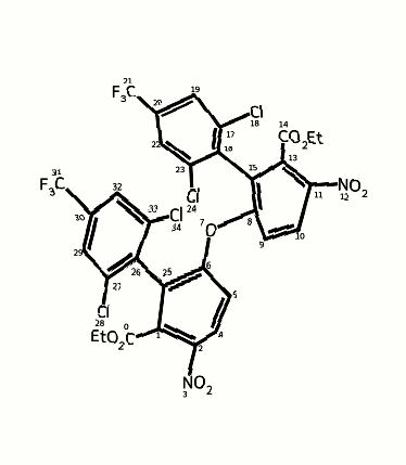 CCOC(=O)c1c([N+](=O)[O-])ccc(Oc2ccc([N+](=O)[O-])c(C(=O)OCC)c2-c2c(Cl)cc(C(F)(F)F)cc2Cl)c1-c1c(Cl)cc(C(F)(F)F)cc1Cl